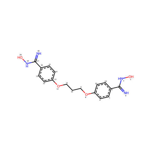 N=C(NO)c1ccc(OCCCOc2ccc(C(=N)NO)cc2)cc1